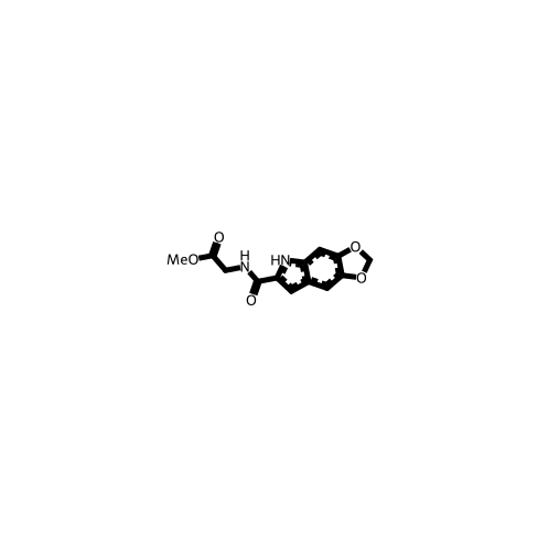 COC(=O)CNC(=O)c1cc2cc3c(cc2[nH]1)OCO3